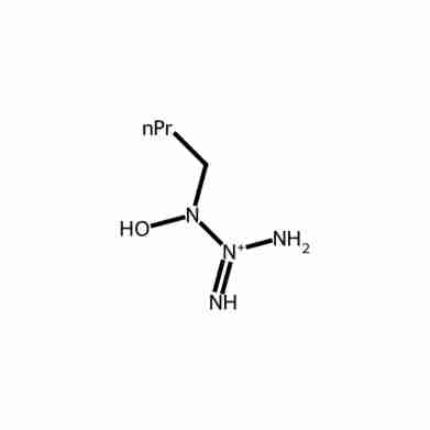 CCCCN(O)[N+](=N)N